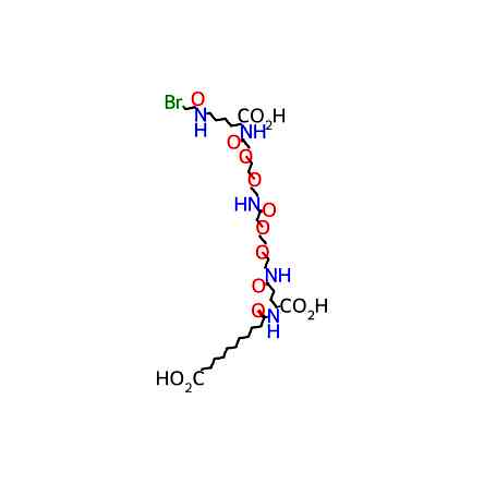 O=C(O)CCCCCCCCCCC(=O)N[C@@H](CCC(=O)NCCOCCOCC(=O)NCCOCCOCC(=O)NC(CCCCNC(=O)CBr)C(=O)O)C(=O)O